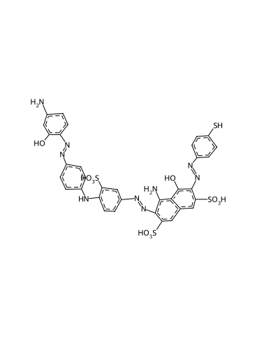 Nc1ccc(N=Nc2ccc(Nc3ccc(N=Nc4c(S(=O)(=O)O)cc5cc(S(=O)(=O)O)c(N=Nc6ccc(S)cc6)c(O)c5c4N)cc3S(=O)(=O)O)cc2)c(O)c1